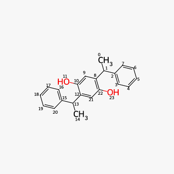 CC(c1ccccc1)c1cc(O)c(C(C)c2ccccc2)cc1O